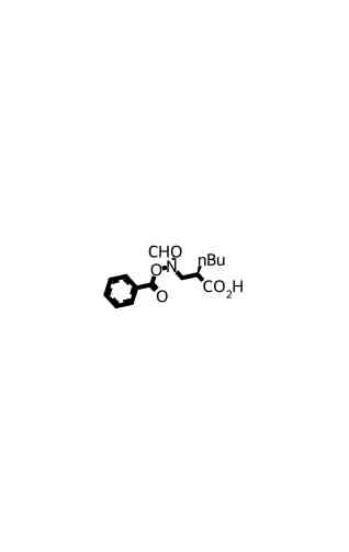 CCCC[C@H](CN(C=O)OC(=O)c1ccccc1)C(=O)O